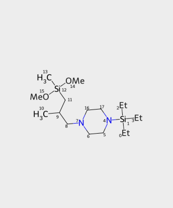 CC[Si](CC)(CC)N1CCN(CC(C)C[Si](C)(OC)OC)CC1